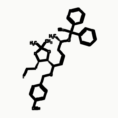 COc1ccc(COC(/C=C\C[C@H](C)O[Si](c2ccccc2)(c2ccccc2)C(C)(C)C)[C@H]2OC(C)(C)O[C@H]2CCI)cc1